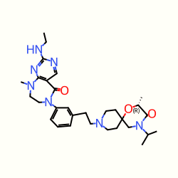 CCNc1ncc2c(n1)N(C)CCN(c1cccc(CCN3CCC4(CC3)CN(C(C)C)C(=O)[C@@H](C)O4)c1)C2=O